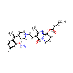 C=C(c1ccc(F)cc1ON)C1CCN(CCc2c(C)nc3n(c2=O)CCCC3OC(=O)CCC(=O)O)CC1